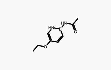 CCOC1=CNB(NC(C)=O)C=C1